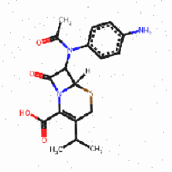 CC(=O)N(c1ccc(N)cc1)C1C(=O)N2C(C(=O)O)=C(C(C)C)CS[C@@H]12